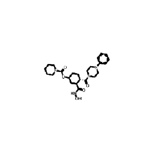 O=C(NO)C1CC(OC(=O)N2CCCCC2)CC[C@@H]1C(=O)N1CCN(c2ccccc2)CC1